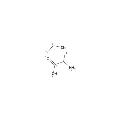 CC(N)C(=O)O.CCCl